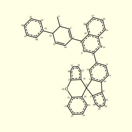 CC1C=C(c2nc(-c3ccc4c(c3)C3(c5ccccc5Oc5ccccc53)c3ccccc3-4)nc3ccccc23)C=CC1c1ccccc1